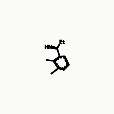 CCC(=N)c1cccc(C)c1C